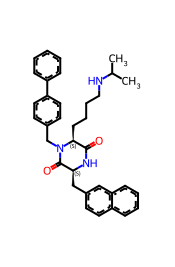 CC(C)NCCCC[C@H]1C(=O)N[C@@H](Cc2ccc3ccccc3c2)C(=O)N1Cc1ccc(-c2ccccc2)cc1